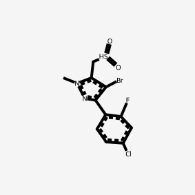 Cn1nc(-c2c[c]c(Cl)cc2F)c(Br)c1C[SH](=O)=O